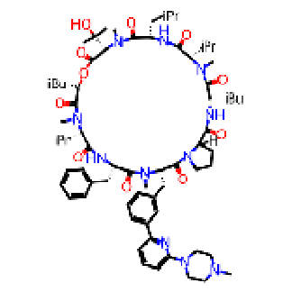 CC[C@H](C)[C@@H]1NC(=O)[C@@H]2CCCN2C(=O)[C@H](Cc2cccc(-c3cccc(N4CCN(C)CC4)n3)c2)N(C)C(=O)[C@H](Cc2ccccc2)NC(=O)[C@H](C(C)C)N(C)C(=O)[C@@H]([C@@H](C)CC)OC(=O)[C@H](C(C)(C)O)N(C)C(=O)[C@H](CC(C)C)NC(=O)[C@H](C(C)C)N(C)C1=O